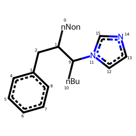 CCCCCCCCCC(Cc1ccccc1)C(CCCC)n1ccnc1